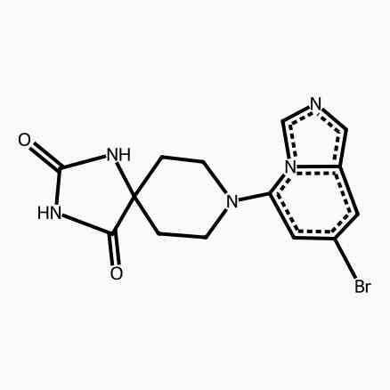 O=C1NC(=O)C2(CCN(c3cc(Br)cc4cncn34)CC2)N1